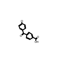 O=C(O)c1ccc(C(=O)c2ccc(Cl)cc2)cc1